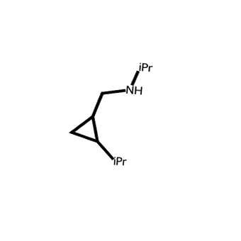 CC(C)NCC1CC1C(C)C